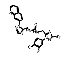 CC(C)c1nc(CNC(=O)NCc2ncnn2-c2ccc3cccnc3c2)n(-c2ccc(Cl)c(F)c2)n1